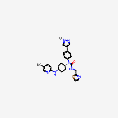 Cn1cc(-c2ccc(N(C(=O)NCc3nccs3)[C@H]3CC[C@H](Nc4ccc(C#N)cn4)CC3)cc2)cn1